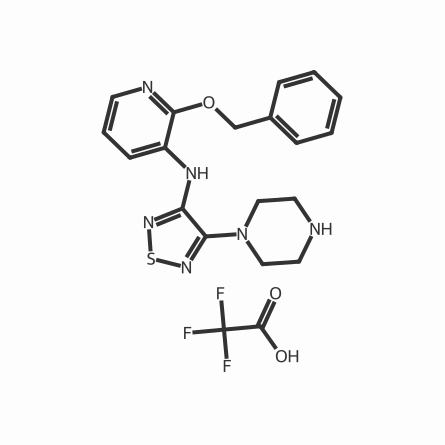 O=C(O)C(F)(F)F.c1ccc(COc2ncccc2Nc2nsnc2N2CCNCC2)cc1